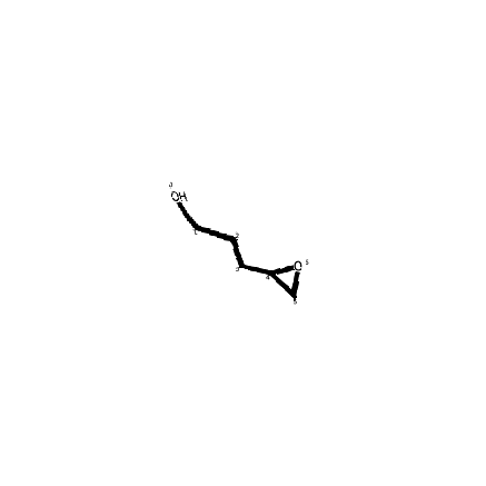 OC[CH]CC1CO1